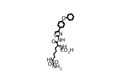 NS(=O)(=O)NCCCCC(NC(=O)O)C(=O)Nc1nc(-c2ccc(Oc3ccccc3)cc2)cs1